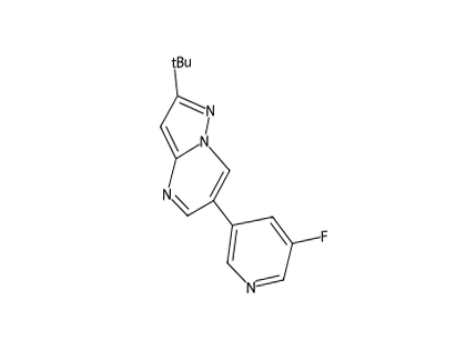 CC(C)(C)c1cc2ncc(-c3cncc(F)c3)cn2n1